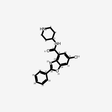 O=C(NC1CCNCC1)c1cc(Cl)cc2oc(-c3ccccc3)nc12